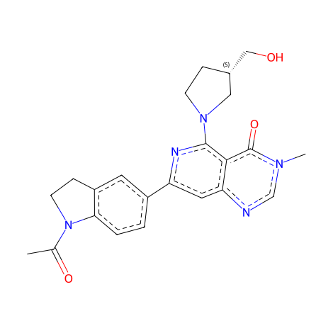 CC(=O)N1CCc2cc(-c3cc4ncn(C)c(=O)c4c(N4CC[C@H](CO)C4)n3)ccc21